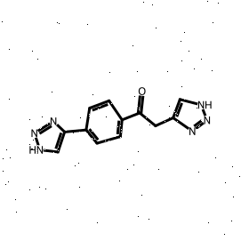 O=C(Cc1c[nH]nn1)c1ccc(-c2c[nH]nn2)cc1